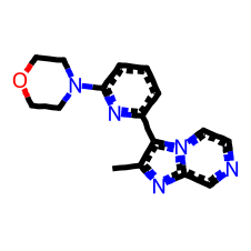 Cc1nc2cnccn2c1-c1cccc(N2CCOCC2)n1